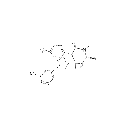 CN1C(=N)N[C@](C)(c2ccc(-c3cccc(C#N)c3)s2)C(c2ccc(C(F)(F)F)cc2)C1=O